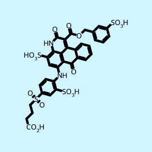 O=C(O)CCCS(=O)(=O)c1ccc(Nc2cc(S(=O)(=O)O)c3[nH]c(=O)c(C(=O)OCc4cccc(S(=O)(=O)O)c4)c4c3c2C(=O)c2ccccc2-4)c(S(=O)(=O)O)c1